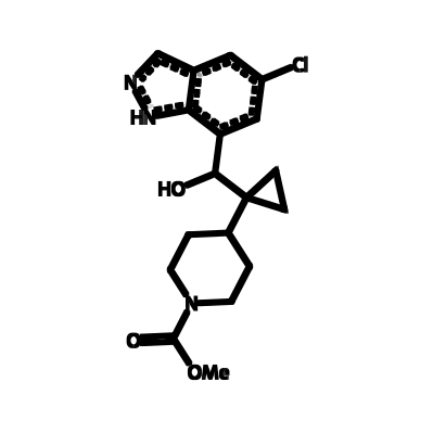 COC(=O)N1CCC(C2(C(O)c3cc(Cl)cc4cn[nH]c34)CC2)CC1